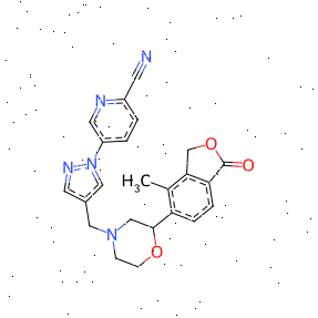 Cc1c(C2CN(Cc3cnn(-c4ccc(C#N)nc4)c3)CCO2)ccc2c1COC2=O